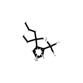 CCCC(C)(CC)c1c[nH]nc1C(F)(F)F